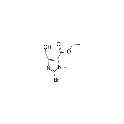 CCOC(=O)c1c(CO)nc(Br)n1C